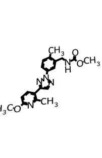 COC(=O)NCc1cc(-n2ncc(-c3ccc(OC)nc3C)n2)ccc1C